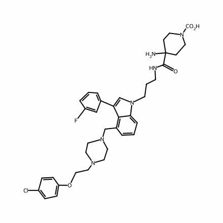 NC1(C(=O)NCCCn2cc(-c3cccc(F)c3)c3c(CN4CCN(CCOc5ccc(Cl)cc5)CC4)cccc32)CCN(C(=O)O)CC1